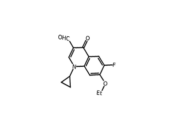 [CH2]COc1cc2c(cc1F)c(=O)c(C=O)cn2C1CC1